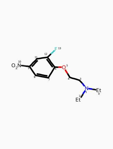 CCN(CC)CCOc1ccc([N+](=O)[O-])cc1F